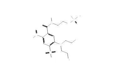 CN(CCOP(=O)(O)O)C(=O)c1cc(N(CCBr)CCBr)c(S(C)(=O)=O)cc1[N+](=O)[O-]